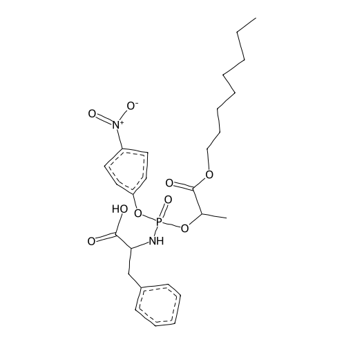 CCCCCCCCOC(=O)C(C)OP(=O)(NC(Cc1ccccc1)C(=O)O)Oc1ccc([N+](=O)[O-])cc1